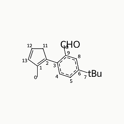 CC1=C(c2ccc(C(C)(C)C)cc2C=O)CC=C1